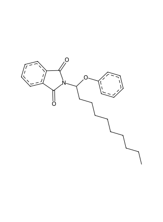 CCCCCCCCCC(Oc1ccccc1)N1C(=O)c2ccccc2C1=O